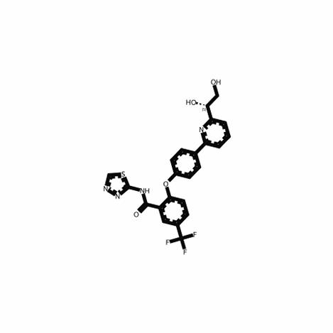 O=C(Nc1nncs1)c1cc(C(F)(F)F)ccc1Oc1ccc(-c2cccc([C@H](O)CO)n2)cc1